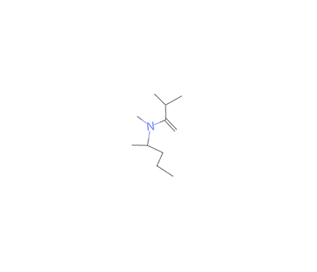 C=C(C(C)C)N(C)C(C)CCC